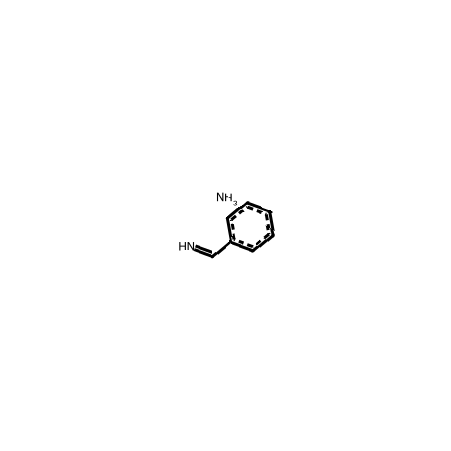 N.N=Cc1ccccc1